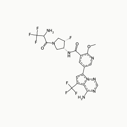 COc1ncc(-c2cc(C(F)(F)F)c3c(N)ncnn23)cc1C(=O)N[C@@H]1CN(C(=O)C(N)C(F)(F)F)C[C@@H]1F